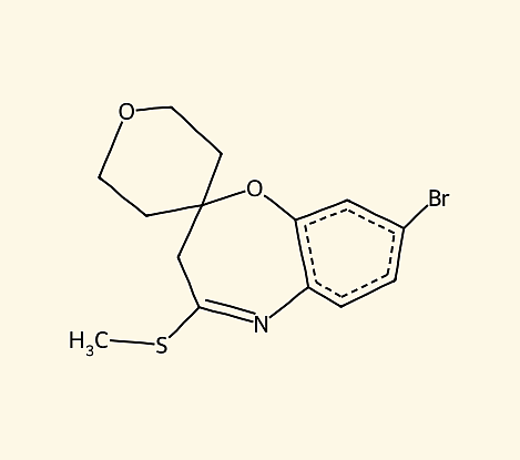 CSC1=Nc2ccc(Br)cc2OC2(CCOCC2)C1